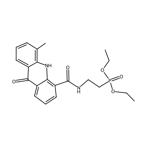 CCOP(=O)(CCNC(=O)c1cccc2c(=O)c3cccc(C)c3[nH]c12)OCC